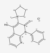 C[N+]1(c2c(O)c3cccnc3n(-c3ccccc3)c2=O)CCCC1.[Cl-]